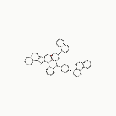 c1cc(-c2cccc3ccccc23)cc(N(c2ccc(-c3cccc4c3ccc3ccccc34)cc2)c2ccccc2-c2cccc3c2oc2c4ccccc4ccc32)c1